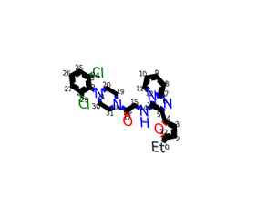 CCc1ccc(-c2nc3ccccn3c2NCC(=O)N2CCN(c3c(Cl)cccc3Cl)CC2)o1